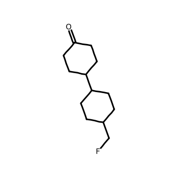 O=C1CCC(C2CCC(CF)CC2)CC1